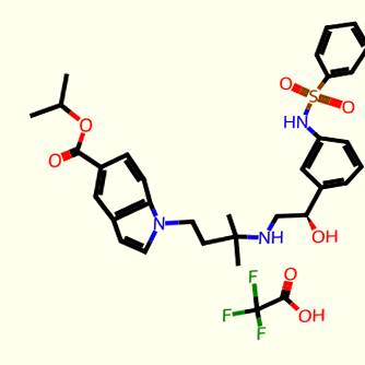 CC(C)OC(=O)c1ccc2c(ccn2CCC(C)(C)NC[C@H](O)c2cccc(NS(=O)(=O)c3ccccc3)c2)c1.O=C(O)C(F)(F)F